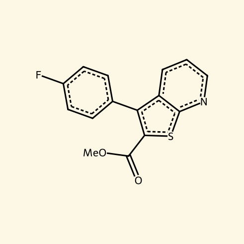 COC(=O)c1sc2ncccc2c1-c1ccc(F)cc1